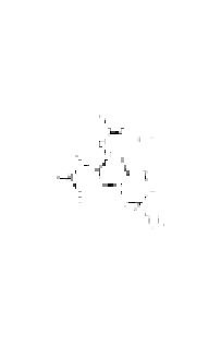 CC(=O)Oc1cc2c(cc1OC(C)=O)CC(N)CC2.Cl